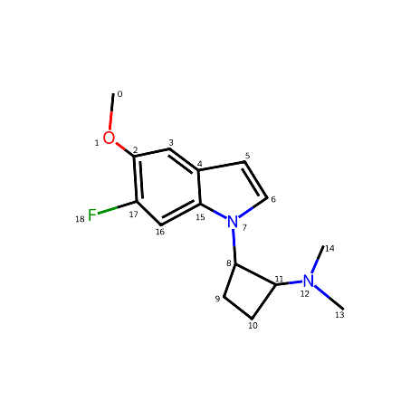 COc1cc2ccn(C3CCC3N(C)C)c2cc1F